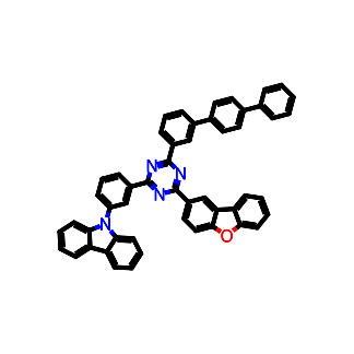 c1ccc(-c2ccc(-c3cccc(-c4nc(-c5cccc(-n6c7ccccc7c7ccccc76)c5)nc(-c5ccc6oc7ccccc7c6c5)n4)c3)cc2)cc1